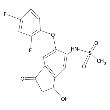 CS(=O)(=O)Nc1cc2c(cc1Oc1ccc(F)cc1F)C(=O)CC2O